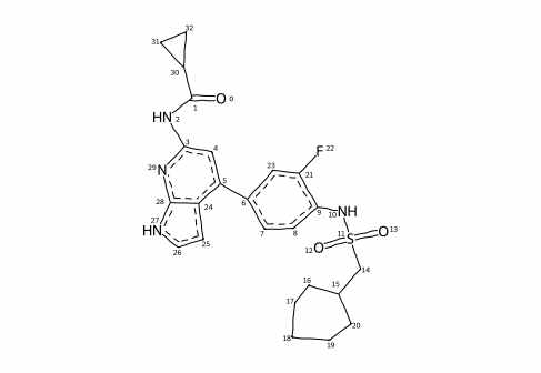 O=C(Nc1cc(-c2ccc(NS(=O)(=O)CC3CCCCC3)c(F)c2)c2cc[nH]c2n1)C1CC1